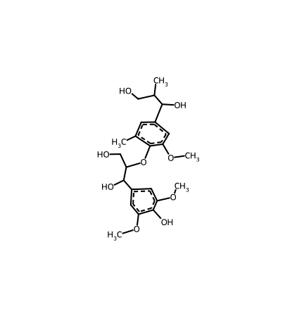 COc1cc(C(O)C(CO)Oc2c(C)cc(C(O)C(C)CO)cc2OC)cc(OC)c1O